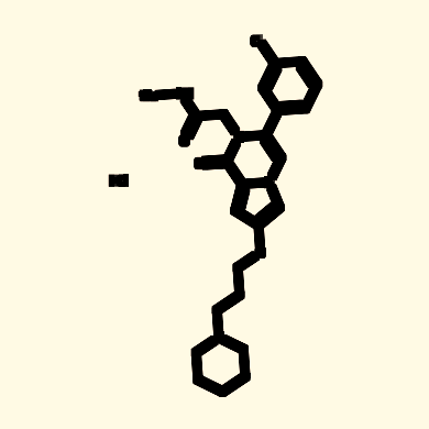 CC(C)(C)NC(=O)Cn1c(-c2cccc(Cl)c2)cn2cc(OCCCN3CCCCC3)cc2c1=O.Cl